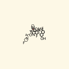 C#Cc1c(F)ccc2cc(O)cc(-c3nc(OC)c4c(N5CC6CCC(C5)N6C(=O)C5CC5)nc(OCC5(CN6CCC(F)CC6)CC5)nc4c3F)c12